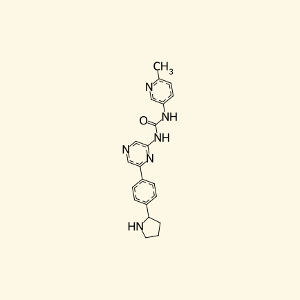 Cc1ccc(NC(=O)Nc2cncc(-c3ccc(C4CCCN4)cc3)n2)cn1